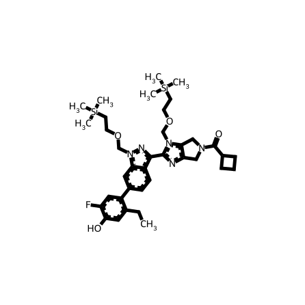 CCc1cc(O)c(F)cc1-c1ccc2c(-c3nc4c(n3COCC[Si](C)(C)C)CN(C(=O)C3CCC3)C4)nn(COCC[Si](C)(C)C)c2c1